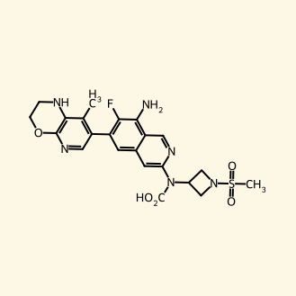 Cc1c(-c2cc3cc(N(C(=O)O)C4CN(S(C)(=O)=O)C4)ncc3c(N)c2F)cnc2c1NCCO2